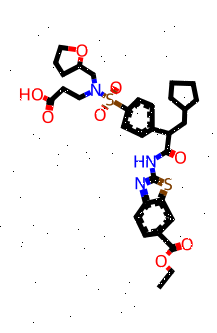 CCOC(=O)c1ccc2nc(NC(=O)C(CC3CCCC3)c3ccc(S(=O)(=O)N(CCC(=O)O)CC4CCCO4)cc3)sc2c1